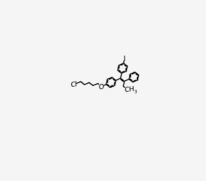 CCC(=C(c1ccc(I)cc1)c1ccc(OCCCCCCl)cc1)c1ccccc1